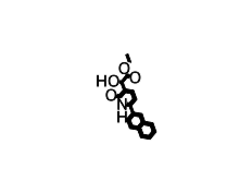 CCOC(=O)C(O)c1ccc(-c2ccc3ccccc3c2)[nH]c1=O